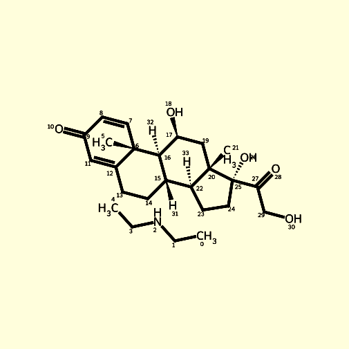 CCNCC.C[C@]12C=CC(=O)C=C1CC[C@@H]1[C@@H]2[C@@H](O)C[C@@]2(C)[C@H]1CC[C@]2(O)C(=O)CO